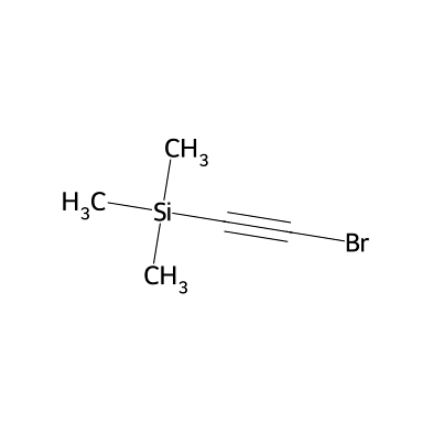 C[Si](C)(C)C#CBr